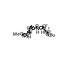 COc1cc(-c2cc(C(=O)N3CC[C@H](C(=O)NC4CCC(OCCNC(=O)OC(C)(C)C)(C(F)(F)F)CC4)CC34CC4)n[nH]2)c(F)cn1